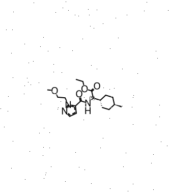 CCOC(=O)[C@@H](NC(=O)c1ccnn1CCOC)[C@H]1CC[C@H](C)CC1